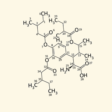 CCC(C)CC(=O)Oc1ccc(C(C(C)C(C)OC(=O)C(C)CC)[C@H](N)C(=O)O)cc1OC(=O)CC(C)CC